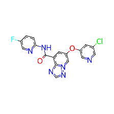 O=C(Nc1ccc(F)cn1)c1cc(Oc2cncc(Cl)c2)cn2ncnc12